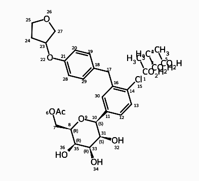 CC(=O)O.CC(=O)O.CC(=O)O.CC(=O)OC[C@H]1O[C@@H](c2ccc(Cl)c(Cc3ccc(OC4CCOC4)cc3)c2)[C@@H](O)[C@@H](O)[C@H]1O